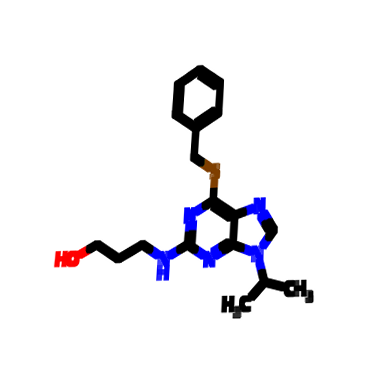 CC(C)n1cnc2c(SCc3ccccc3)nc(NCCCO)nc21